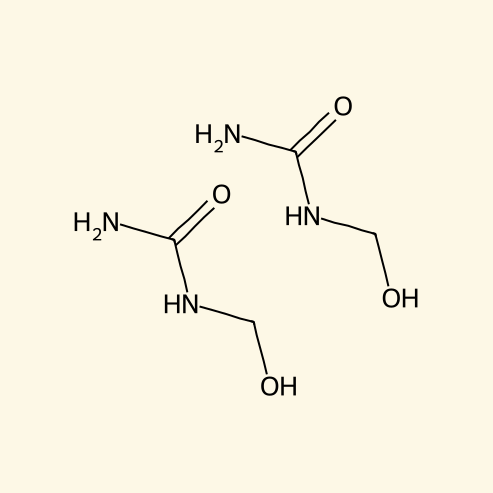 NC(=O)NCO.NC(=O)NCO